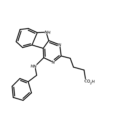 O=C(O)CCCc1nc(NCc2ccccc2)c2c(n1)[nH]c1ccccc12